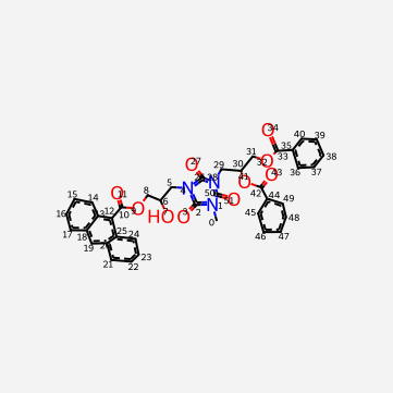 Cn1c(=O)n(CC(O)COC(=O)c2c3ccccc3cc3ccccc23)c(=O)n(CC(COC(=O)c2ccccc2)OC(=O)c2ccccc2)c1=O